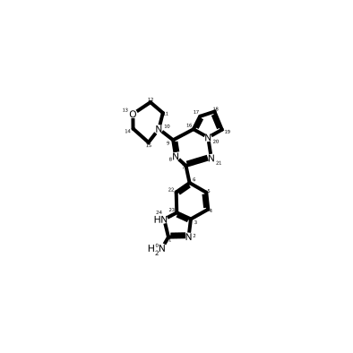 Nc1nc2ccc(-c3nc(N4CCOCC4)c4cccn4n3)cc2[nH]1